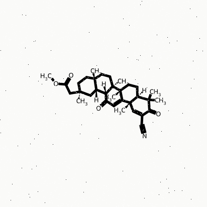 COC(=O)C[C@@]1(C)CC[C@]2(C)CC[C@]3(C)[C@H](C(=O)C=C4[C@@]5(C)C=C(C#N)C(=O)C(C)(C)[C@@H]5CC[C@]43C)[C@@H]2C1